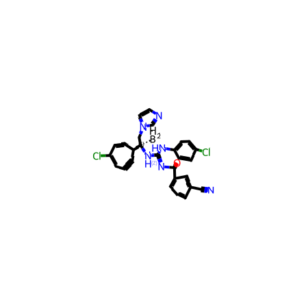 B[C@](Cn1ccnc1)(N/C(=N/C(=O)c1cccc(C#N)c1)Nc1ccc(Cl)cc1)C1C#CC=C(Cl)C=C1